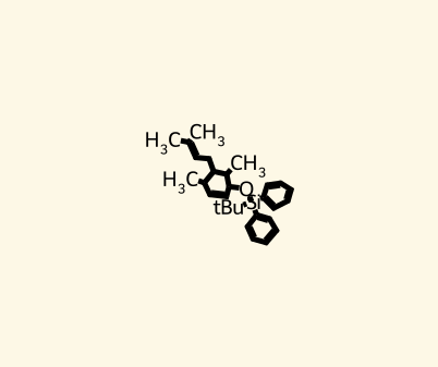 CC(C)=CCC1C(C)C=CC(O[Si](c2ccccc2)(c2ccccc2)C(C)(C)C)C1C